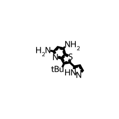 CC(C)(C)c1c(-c2ccn[nH]2)sc2c(N)cc(N)nc12